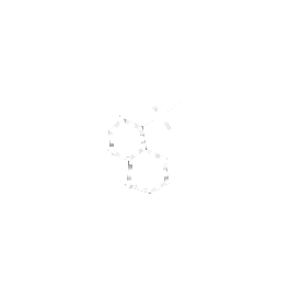 CS(=O)(=O)c1ncnc2nccnc12